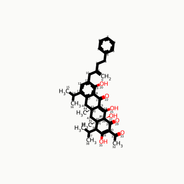 C=C(CCc1ccccc1)Cc1cc(C(C)C)c2c(c1O)C(=O)C1=C(O)[C@@]3(O)C(=O)C(C(C)=O)=C(O)C(C(C)C)[C@@]3(C)C[C@@]1(C)C2